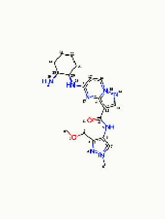 COCc1nn(C)cc1NC(=O)c1cnn2ccc(N[C@@H]3CCCC[C@@H]3N)nc12